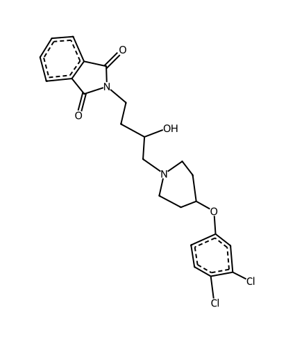 O=C1c2ccccc2C(=O)N1CCC(O)CN1CCC(Oc2ccc(Cl)c(Cl)c2)CC1